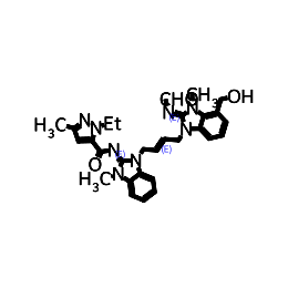 CCn1nc(C)cc1C(=O)/N=c1\n(C)c2ccccc2n1C/C=C/Cn1/c(=N/C=O)n(C)c2c(CO)cccc21